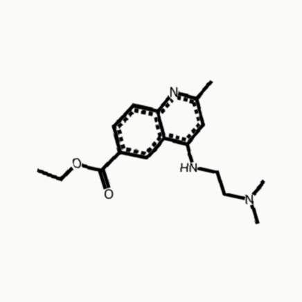 CCOC(=O)c1ccc2nc(C)cc(NCCN(C)C)c2c1